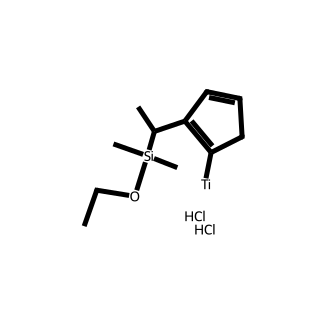 CCO[Si](C)(C)C(C)C1=[C]([Ti])CC=C1.Cl.Cl